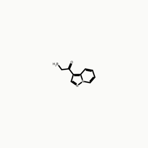 BCC(=O)c1cnn2ccccc12